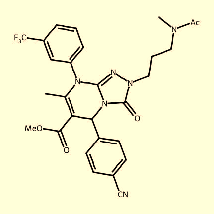 COC(=O)C1=C(C)N(c2cccc(C(F)(F)F)c2)c2nn(CCCN(C)C(C)=O)c(=O)n2C1c1ccc(C#N)cc1